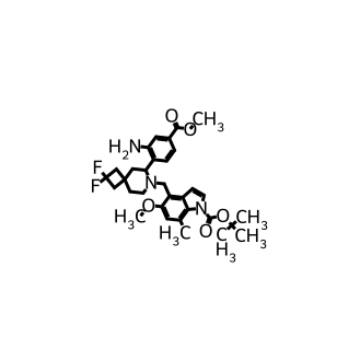 COC(=O)c1ccc(C2CC3(CCN2Cc2c(OC)cc(C)c4c2ccn4C(=O)OC(C)(C)C)CC(F)(F)C3)c(N)c1